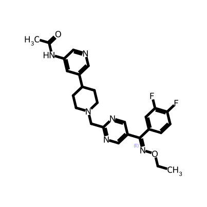 CCO/N=C(/c1cnc(CN2CCC(c3cncc(NC(C)=O)c3)CC2)nc1)c1ccc(F)c(F)c1